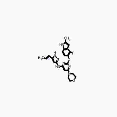 C/C=C/c1cc(Nc2cc(N3CCOCC3)nc(Oc3ccc4[nH]c(C)cc4c3F)n2)n[nH]1